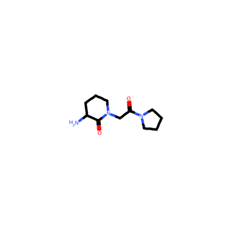 NC1CCCN(CC(=O)N2CCCC2)C1=O